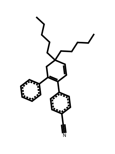 CCCCCC1(CCCCC)C=CC(c2ccc(C#N)cc2)=C(c2ccccc2)C1